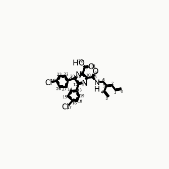 C=C/C=C(\C=C)CNC(=O)c1nc(-c2ccc(Cl)cc2)c(-c2ccc(Cl)cc2)nc1C(=O)O